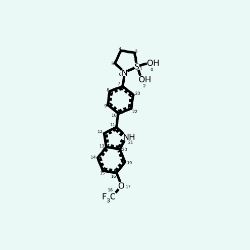 OS1(O)CCCN1c1ccc(-c2cc3ccc(OC(F)(F)F)cc3[nH]2)cc1